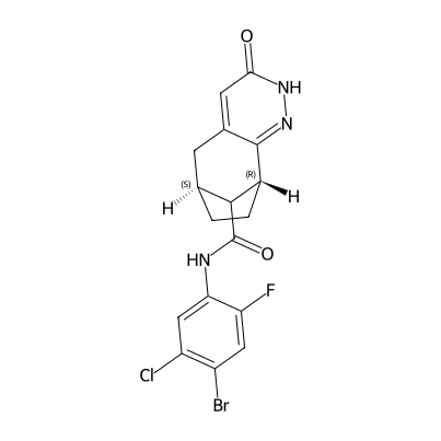 O=C(Nc1cc(Cl)c(Br)cc1F)C1[C@H]2CC[C@H]1c1n[nH]c(=O)cc1C2